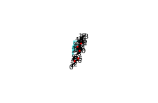 CCC[C@H]1CC[C@H](CCc2ccc(-c3ccc(CC)cc3)c(F)c2F)CC1